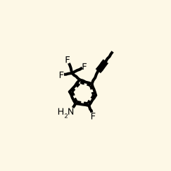 CC#Cc1cc(F)c(N)cc1C(F)(F)F